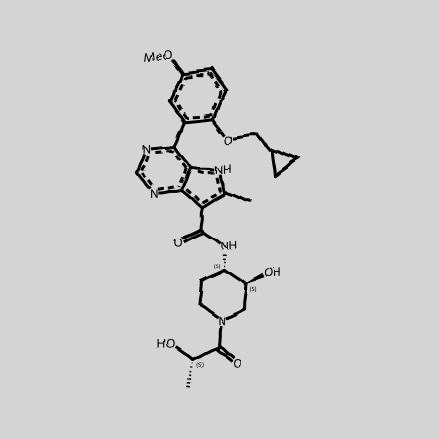 COc1ccc(OCC2CC2)c(-c2ncnc3c(C(=O)N[C@H]4CCN(C(=O)[C@H](C)O)C[C@@H]4O)c(C)[nH]c23)c1